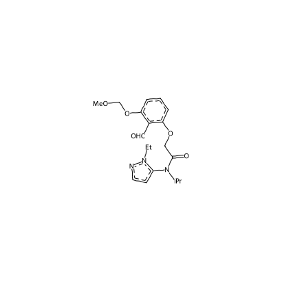 CCn1nccc1N(C(=O)COc1cccc(OCOC)c1C=O)C(C)C